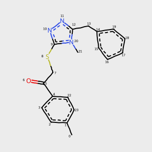 Cc1ccc(C(=O)CSc2nnc(Cc3ccccc3)n2C)cc1